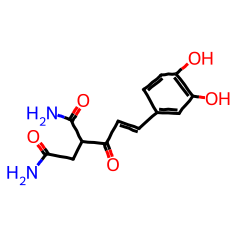 NC(=O)CC(C(N)=O)C(=O)C=Cc1ccc(O)c(O)c1